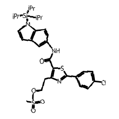 CC(C)[Si](C(C)C)(C(C)C)n1ccc2cc(NC(=O)c3sc(-c4ccc(Cl)cc4)nc3CCOS(C)(=O)=O)ccc21